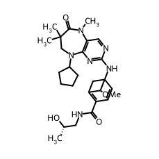 COC1C2=C(C(=O)NC[C@H](C)O)C=CC1(Nc1ncc3c(n1)N(C1CCCC1)CC(C)(C)C(=O)N3C)C2